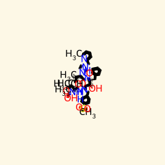 CC[C@H](C)[C@@H](C(=O)N[C@@H](Cc1ccccc1)[C@@H](O)CN(Cc1ccc(S(C)(=O)=O)cc1)NC(=O)[C@@H](NC(=O)O)C(C)(C)C)N1CCN(Cc2cccc(C)n2)C1=O